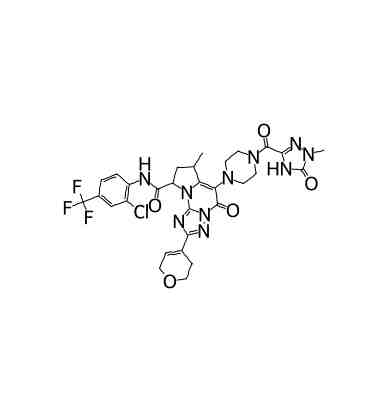 CC1CC(C(=O)Nc2ccc(C(F)(F)F)cc2Cl)n2c1c(N1CCN(C(=O)c3nn(C)c(=O)[nH]3)CC1)c(=O)n1nc(C3=CCOCC3)nc21